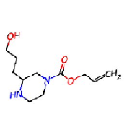 C=CCOC(=O)N1CCNC(CCCO)C1